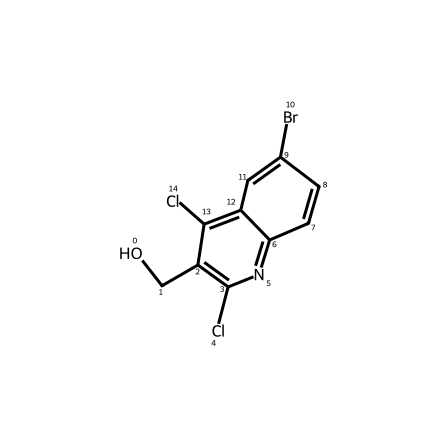 OCc1c(Cl)nc2ccc(Br)cc2c1Cl